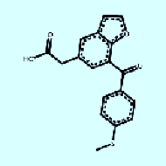 CSc1ccc(C(=O)c2cc(CC(=O)O)cc3ccoc23)cc1